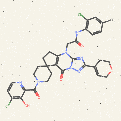 O=C(Cn1c2c(c(=O)n3nc(C4=CCOCC4)nc13)C1(CC2)CCN(C(=O)c2nccc(Cl)c2O)CC1)Nc1ccc(C(F)(F)F)cc1Cl